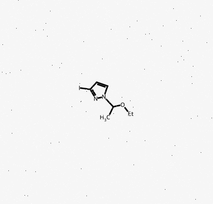 CCOC(C)n1ccc(I)n1